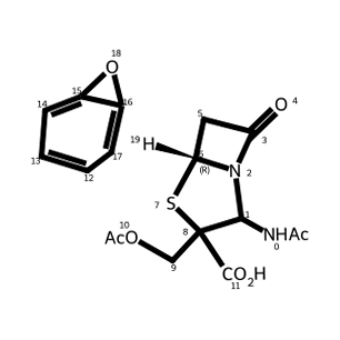 CC(=O)NC1N2C(=O)C[C@H]2SC1(COC(C)=O)C(=O)O.c1ccc2c(c1)O2